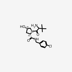 CC(C)(C)C(N)C(=O)N1C[C@H](O)C[C@H]1C(=O)NCc1ccc(Cl)cc1